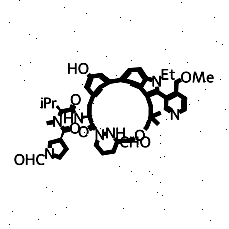 CCn1c(-c2cnccc2COC)c2c3cc(ccc31)-c1cc(O)cc(c1)C[C@H](NC(=O)[C@H](C(C)C)N(C)C(=O)[C@H]1CCN(C=O)C1)C(=O)N1CCCC(C=O)(COCC(C)(C)C2)N1